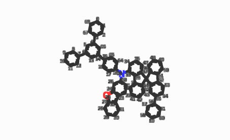 c1ccc(-c2cc(-c3ccccc3)cc(-c3ccc(N(c4ccc5c(c4)oc4ccccc45)c4cccc5c4-c4ccccc4C54c5ccccc5-c5ccc(-c6ccccc6)cc54)cc3)c2)cc1